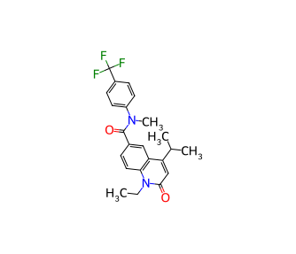 CCn1c(=O)cc(C(C)C)c2cc(C(=O)N(C)c3ccc(C(F)(F)F)cc3)ccc21